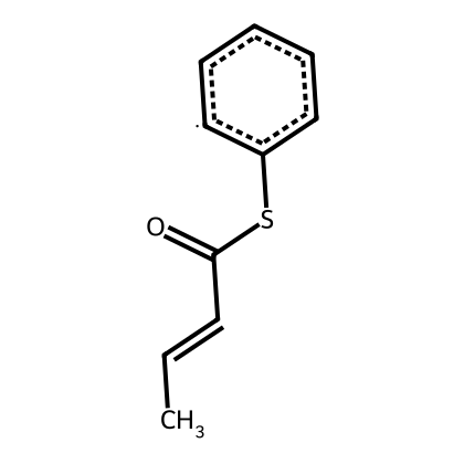 CC=CC(=O)Sc1[c]cccc1